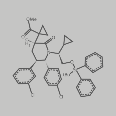 COC(=O)C1([C@]2(C)C[C@H](c3cccc(Cl)c3)[C@@H](c3ccc(Cl)cc3)N([C@H](CO[Si](c3ccccc3)(c3ccccc3)C(C)(C)C)C3CC3)C2=O)CC1